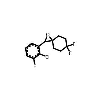 Fc1cccc(C2OC23CCC(F)(F)CC3)c1Cl